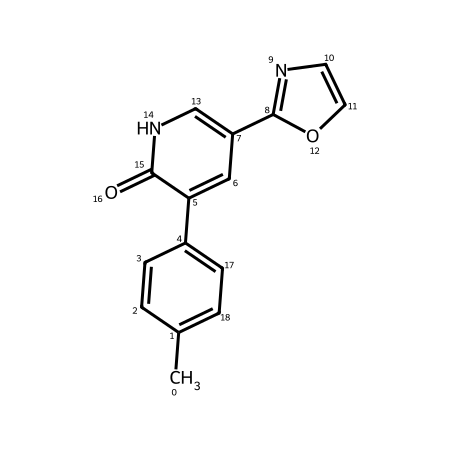 Cc1ccc(-c2cc(-c3ncco3)c[nH]c2=O)cc1